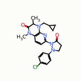 CC1C(=O)N(C)c2ccc(N3C(=O)CCN3c3ccc(Cl)cc3)nc2N1CC1CC1